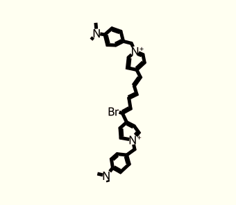 CN(C)c1ccc(C[n+]2ccc(C=CC=CC=C(Br)c3cc[n+](Cc4ccc(N(C)C)cc4)cc3)cc2)cc1